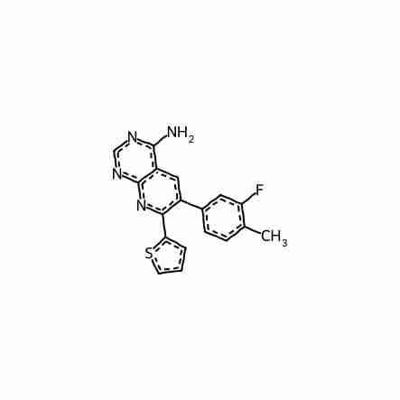 Cc1ccc(-c2cc3c(N)ncnc3nc2-c2cccs2)cc1F